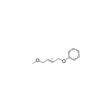 COC/C=C/COc1ccccc1